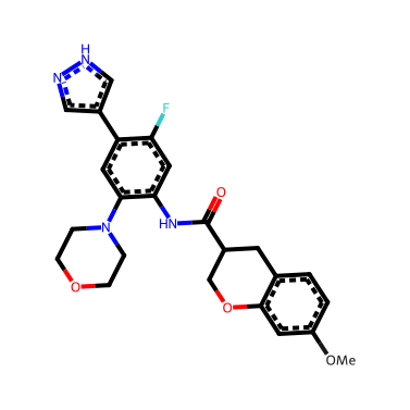 COc1ccc2c(c1)OCC(C(=O)Nc1cc(F)c(-c3cn[nH]c3)cc1N1CCOCC1)C2